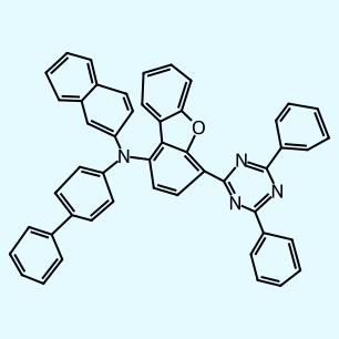 c1ccc(-c2ccc(N(c3ccc4ccccc4c3)c3ccc(-c4nc(-c5ccccc5)nc(-c5ccccc5)n4)c4oc5ccccc5c34)cc2)cc1